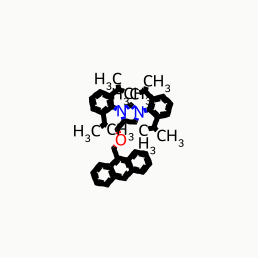 CC(C)c1cccc(C(C)C)c1N1CC(COCc2c3ccccc3cc3ccccc23)N(c2c(C(C)C)cccc2C(C)C)C1